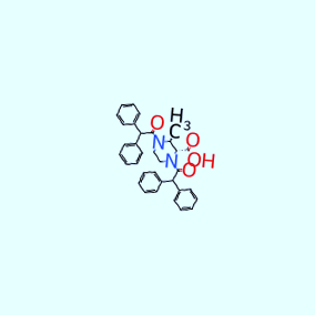 C[C@H]1[C@H](C(=O)O)N(C(=O)C(c2ccccc2)c2ccccc2)CCN1C(=O)C(c1ccccc1)c1ccccc1